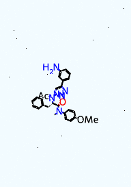 COc1ccc(N(C)C(=O)[C@H](Cc2ccccc2)N(C(C)=O)n2cc(-c3cccc(N)c3)nn2)cc1